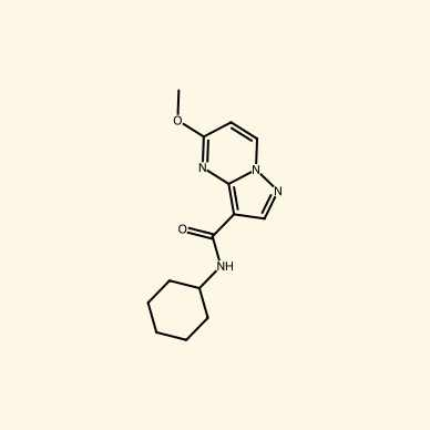 COc1ccn2ncc(C(=O)NC3CCCCC3)c2n1